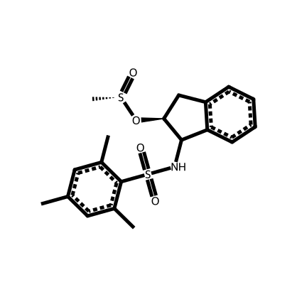 Cc1cc(C)c(S(=O)(=O)NC2c3ccccc3C[C@@H]2O[S@](C)=O)c(C)c1